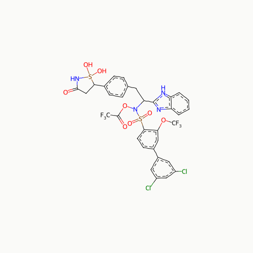 O=C1CC(c2ccc(CC(c3nc4ccccc4[nH]3)N(OC(=O)C(F)(F)F)S(=O)(=O)c3ccc(-c4cc(Cl)cc(Cl)c4)cc3OC(F)(F)F)cc2)S(O)(O)N1